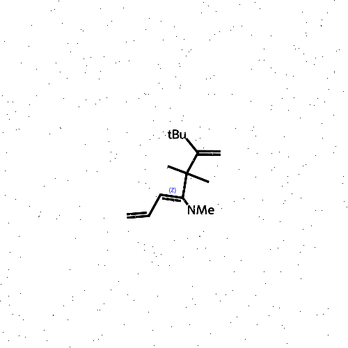 C=C/C=C(\NC)C(C)(C)C(=C)C(C)(C)C